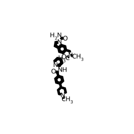 CN(C)Cc1cc2c(ccn2C(N)=O)cc1Oc1ccnc(NC(=O)c2ccc(C3CCN(C)CC3)cc2)c1